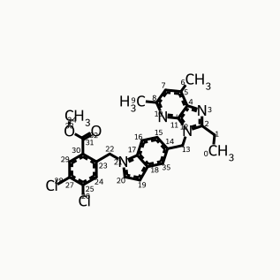 CCc1nc2c(C)cc(C)nc2n1Cc1ccc2c(ccn2Cc2cc(Cl)c(Cl)cc2C(=O)OC)c1